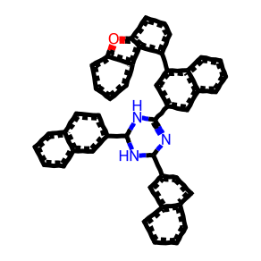 c1ccc2cc(C3N=C(c4cc(-c5cccc6oc7ccccc7c56)c5ccccc5c4)NC(c4ccc5ccccc5c4)N3)ccc2c1